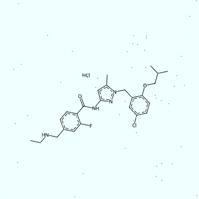 CCNCc1ccc(C(=O)Nc2cc(C)n(Cc3cc(Cl)ccc3OCC(C)C)n2)c(F)c1.Cl